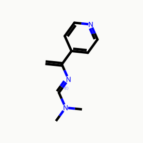 C=C(/N=C/N(C)C)c1ccncc1